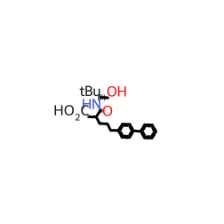 CC(C)(C)[C@H](CO)NC(=O)C(CCCc1ccc(-c2ccccc2)cc1)CC(=O)O